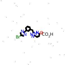 O=C(O)Oc1ccc2nnc(Cc3cccc(-c4ncc(Br)cn4)c3)n2n1